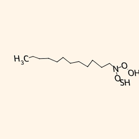 CCCCCCCCCCCCN(OO)OS